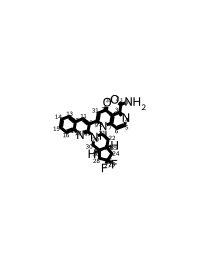 NC(=O)c1nccc2[nH]c(-c3cc4ccccc4nc3N3CC[C@@H]4CC(F)(F)C[C@@H]4C3)cc(=O)c12